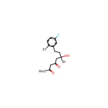 CCc1ccc(F)cc1CCC(O)(CC(=O)CC(=O)OC)C(C)C